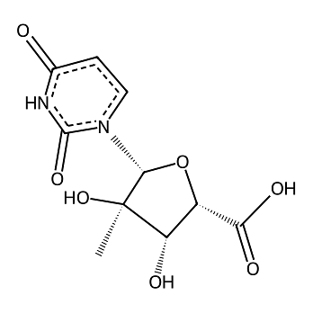 C[C@@]1(O)[C@@H](O)[C@@H](C(=O)O)O[C@H]1n1ccc(=O)[nH]c1=O